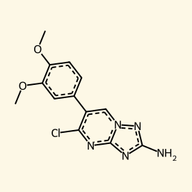 COc1ccc(-c2cn3nc(N)nc3nc2Cl)cc1OC